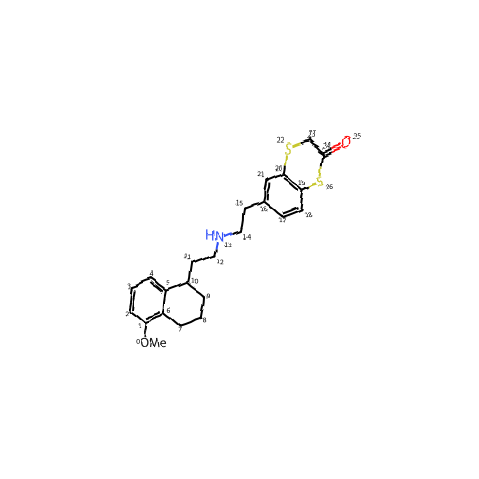 COc1cccc2c1CCCC2CCNCCc1ccc2c(c1)SCC(=O)S2